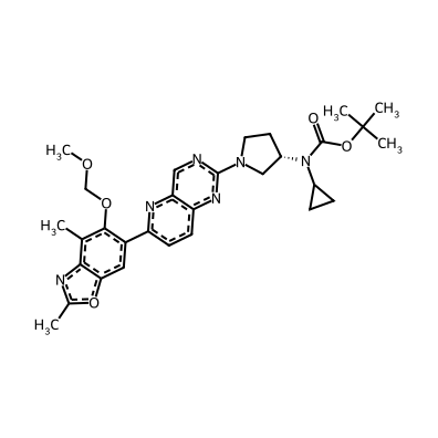 COCOc1c(-c2ccc3nc(N4CC[C@H](N(C(=O)OC(C)(C)C)C5CC5)C4)ncc3n2)cc2oc(C)nc2c1C